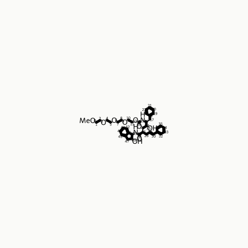 COCCOCCOCCOCCOC(=O)N[C@@H](Cc1ccccc1)[C@@H](O)C[C@@H](CC=Cc1ccccc1)C(=O)N[C@H]1c2ccccc2C[C@H]1O